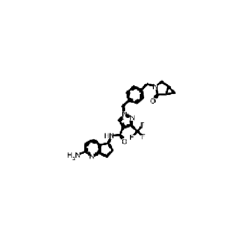 Nc1ccc2c(n1)CCC2NC(=O)c1cn(Cc2ccc(CN3CC4CC4C3=O)cc2)nc1C(F)(F)F